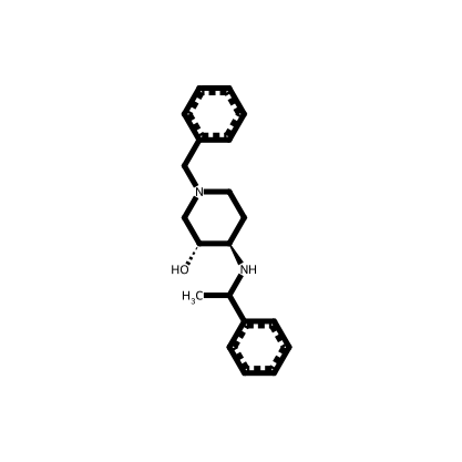 CC(N[C@@H]1CCN(Cc2ccccc2)C[C@H]1O)c1ccccc1